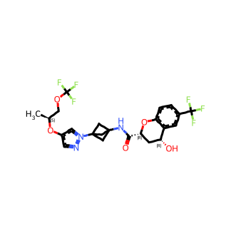 C[C@@H](COC(F)(F)F)Oc1cnn(C23CC(NC(=O)[C@H]4C[C@@H](O)c5cc(C(F)(F)F)ccc5O4)(C2)C3)c1